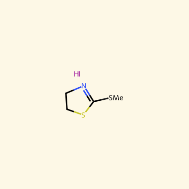 CSC1=NCCS1.I